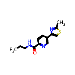 Cc1nc(-c2ccc(C(=O)NCCC(F)(F)F)nc2)cs1